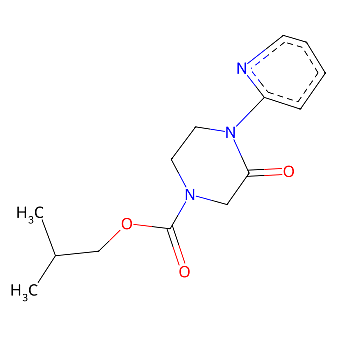 CC(C)COC(=O)N1CCN(c2ccccn2)C(=O)C1